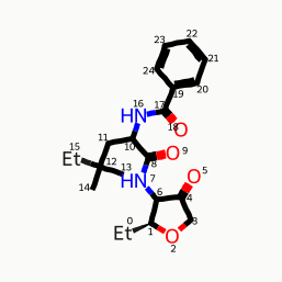 CC[C@@H]1OCC(=O)C1NC(=O)C(CC(C)(C)CC)NC(=O)c1ccccc1